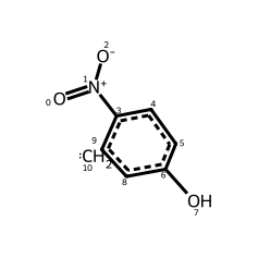 O=[N+]([O-])c1ccc(O)cc1.[CH2]